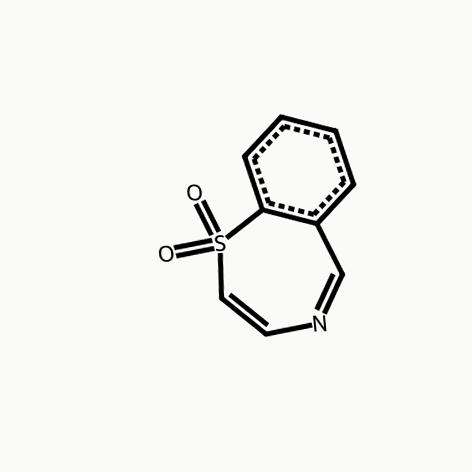 O=S1(=O)C=CN=Cc2ccccc21